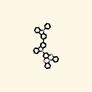 c1ccc(-n2c3ccccc3c3cc(-c4ccc5c(c4)c4ccccc4n5-c4cc5c6c(c4)Oc4ccccc4B6c4ccccc4O5)ccc32)cc1